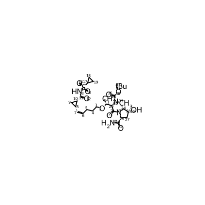 C[C@@H](OCCC/C=C\[C@@H]1C[C@@H]1C(=O)NS(=O)(=O)C1CC1)[C@@H](C(=O)N1C[C@H](O)C[C@H]1C(N)=O)N(C)C(=O)OC(C)(C)C